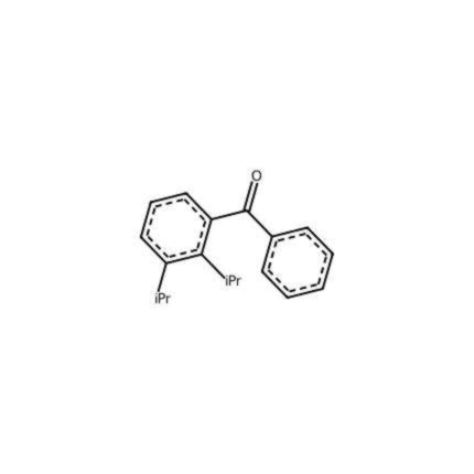 CC(C)c1cccc(C(=O)c2ccccc2)c1C(C)C